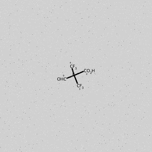 O=CC(C(=O)O)(C(F)(F)F)C(F)(F)F